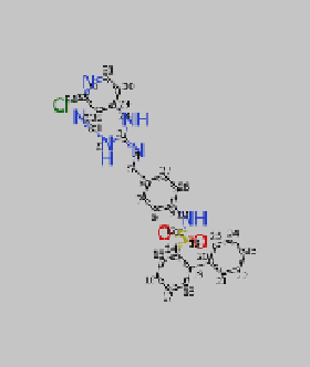 N#CNC(=NCc1ccc(NS(=O)(=O)c2ccccc2-c2ccccc2)cc1)Nc1ccnc(Cl)c1